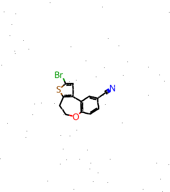 N#Cc1ccc2c(c1)-c1cc(Br)sc1CCO2